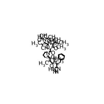 CC[C@H](C)[C@@H]([C@@H](CC(=O)N1CCC[C@H]1[C@H](OC)[C@@H](C)C(=O)N[C@@H](Cc1ccccc1)c1nnn[nH]1)OC)N(C)C(=O)[C@H](C(C)C)N(C(=O)O)C(C)(C)C